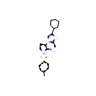 Cc1ccc(S(=O)(=O)n2ccc3c2ncc2nc(C4CCCCC4)cn23)cc1